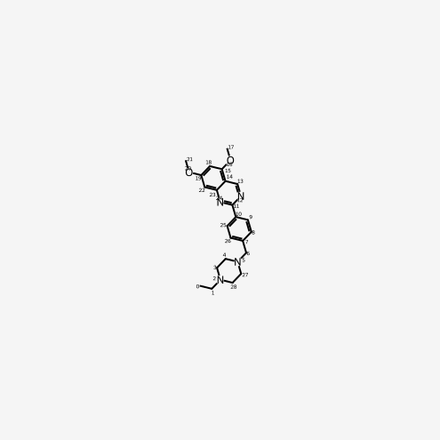 CCN1CCN(Cc2ccc(-c3ncc4c(OC)cc(OC)cc4n3)cc2)CC1